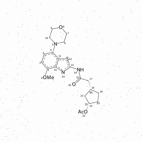 COc1ccc(N2CCOCC2)c2sc(NC(=O)C[C@@H]3CC[C@H](OC(C)=O)C3)nc12